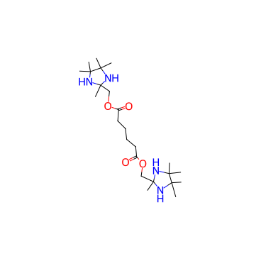 CC1(COC(=O)CCCCC(=O)OCC2(C)NC(C)(C)C(C)(C)N2)NC(C)(C)C(C)(C)N1